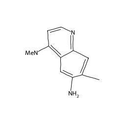 CNc1ccnc2cc(C)c(N)cc12